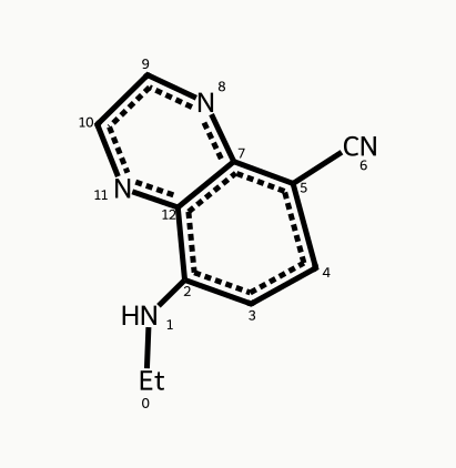 CCNc1ccc(C#N)c2nccnc12